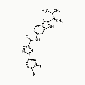 CC(C)N(C)c1nc2ccc(NC(=O)c3nc(-c4ccc(F)c(F)c4)no3)cc2[nH]1